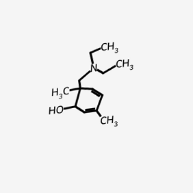 CCN(CC)CC1(C)C=CC(C)=CC1O